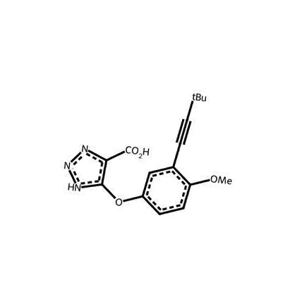 COc1ccc(Oc2[nH]nnc2C(=O)O)cc1C#CC(C)(C)C